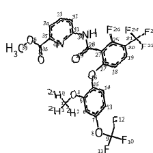 [2H]C([2H])([2H])Oc1cc(OC(F)(F)F)ccc1Oc1ccc(C(F)(F)F)c(F)c1C(=O)Nc1cccc(C(=O)OC)n1